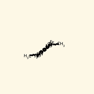 CCCCCC[C@H](OC(=O)c1ccc(-c2ccc(-c3ccc(C(=O)O[C@@H](CCCCCC)C(F)(F)F)nc3)cc2)cn1)C(F)(F)F